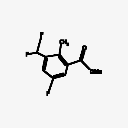 COC(=O)c1cc(F)cc(C(F)F)c1C